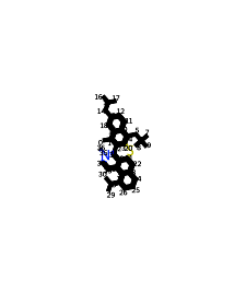 Cc1c2c(c(CC(C)(C)C)c3ccc(CC(C)C)cc13)Sc1cc3cccc(C(C)C)c3c3cc[n+](C)c-2c13